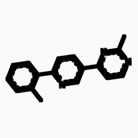 Cc1nccc(-c2ccc(-c3ccccc3C)nc2)n1